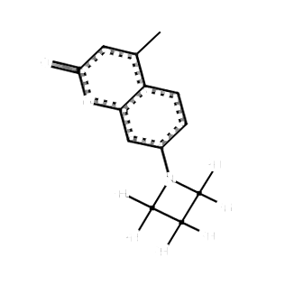 [2H]C1([2H])N(c2ccc3c(C)cc(=O)oc3c2)C([2H])([2H])C1([2H])[2H]